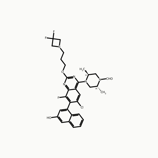 C[C@@H]1CN(c2nc(OCCCN3CC(F)(F)C3)nc3c(F)c(-c4cc(O)cc5ccccc45)c(Cl)cc23)[C@@H](C)CN1C=O